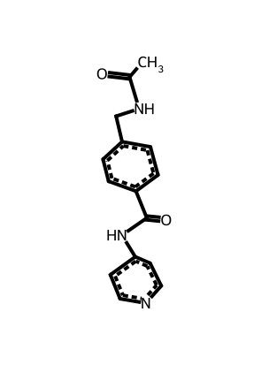 CC(=O)NCc1ccc(C(=O)Nc2ccncc2)cc1